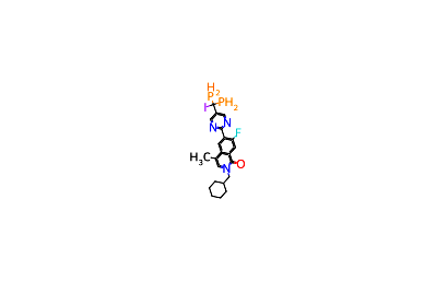 Cc1cn(CC2CCCCC2)c(=O)c2cc(F)c(-c3ncc(C(P)(P)I)cn3)cc12